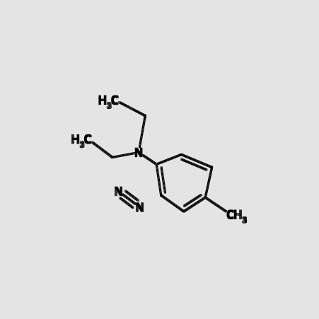 CCN(CC)c1ccc(C)cc1.N#N